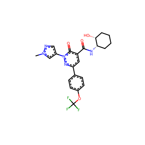 Cn1cc(-n2nc(-c3ccc(OC(F)(F)F)cc3)cc(C(=O)N[C@H]3CCCC[C@H]3O)c2=O)cn1